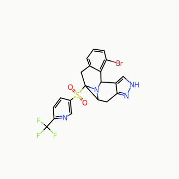 O=S(=O)(c1ccc(C(F)(F)F)nc1)C12Cc3cccc(Br)c3C3c4c[nH]nc4CC1N32